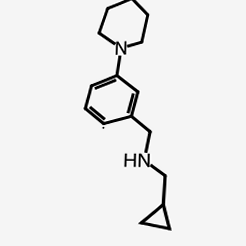 [c]1ccc(N2CCCCC2)cc1CNCC1CC1